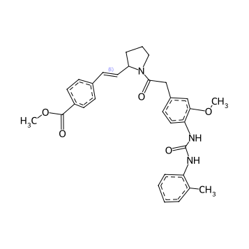 COC(=O)c1ccc(/C=C/C2CCCN2C(=O)Cc2ccc(NC(=O)Nc3ccccc3C)c(OC)c2)cc1